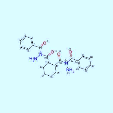 NN(C(=O)c1ccccc1)C(=O)C1CCCCC1C(=O)N(N)C(=O)c1ccccc1